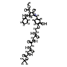 CCOC(=O)C1=C(Nc2ccccc2)S/C(=C\c2ccc(OCCNC(=O)CNC(=O)CNC(=O)CNC(=O)OC(C)(C)C)c(O)c2)C1=O